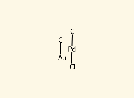 [Cl][Au].[Cl][Pd][Cl]